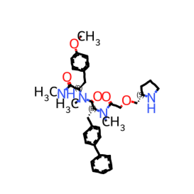 CNC(=O)[C@@H](Cc1ccc(OC)cc1)N(C)C(=O)[C@@H](Cc1ccc(-c2ccccc2)cc1)N(C)C(=O)COC[C@@H]1CCCN1